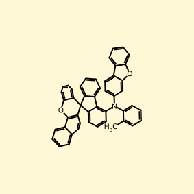 Cc1ccccc1N(c1ccc2c(c1)oc1ccccc12)c1cccc2c1-c1ccccc1C21c2ccccc2Oc2c1ccc1ccccc21